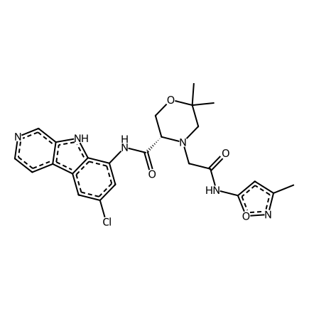 Cc1cc(NC(=O)CN2CC(C)(C)OC[C@H]2C(=O)Nc2cc(Cl)cc3c2[nH]c2cnccc23)on1